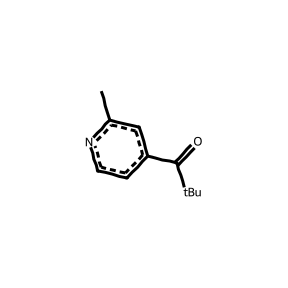 Cc1cc(C(=O)C(C)(C)C)ccn1